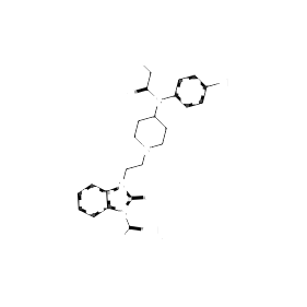 C=C(C)n1c(=O)n(CCN2CCC(N(C(=O)CC)c3ccc(Cl)cc3)CC2)c2ccccc21